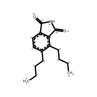 CCCCc1ccc2c(c1CCCC)C(=O)NC2=O